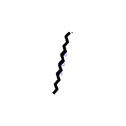 [CH2]CCC/C=C/C=C/C=C/CCCC